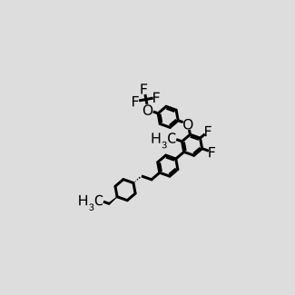 CC[C@H]1CC[C@H](CCc2ccc(-c3cc(F)c(F)c(Oc4ccc(OC(F)(F)F)cc4)c3C)cc2)CC1